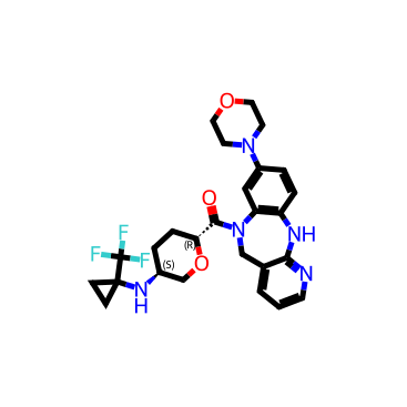 O=C([C@H]1CC[C@H](NC2(C(F)(F)F)CC2)CO1)N1Cc2cccnc2Nc2ccc(N3CCOCC3)cc21